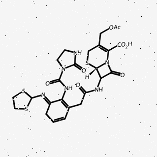 CC(=O)OCC1=C(C(=O)O)N2C(=O)C(NC(=O)CC3=C(NC(=O)N4CCNC4=O)C(=NC4SCCS4)CC=C3)[C@@H]2SC1